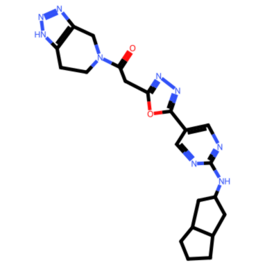 O=C(Cc1nnc(-c2cnc(NC3CC4CCCC4C3)nc2)o1)N1CCc2[nH]nnc2C1